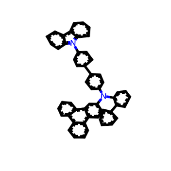 c1ccc(-c2ccccc2N(c2ccc(-c3ccc(-n4c5ccccc5c5ccccc54)cc3)cc2)c2ccc3c4ccccc4c4ccccc4c3c2)cc1